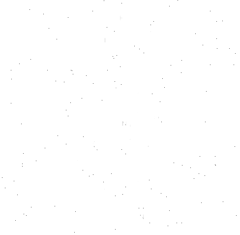 N#Cc1ccc(NC(=O)c2ccc(C(F)(F)F)cc2)c2ncccc12